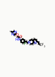 Cc1cnc(OCC(=O)N[C@H]2CC[C@](F)(CCN3CCc4ccc(CCC(F)(F)F)nc4CC3)CC2)cn1